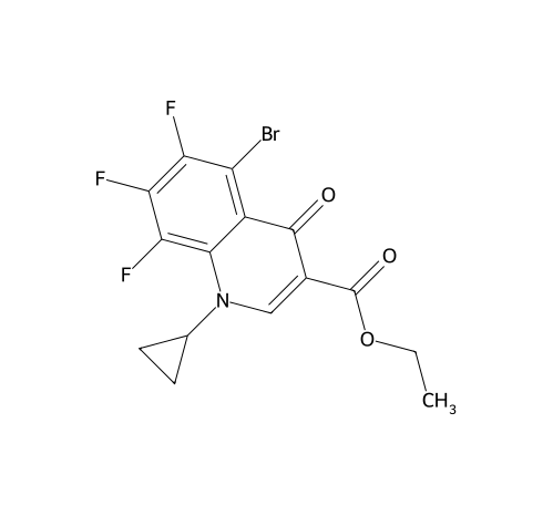 CCOC(=O)c1cn(C2CC2)c2c(F)c(F)c(F)c(Br)c2c1=O